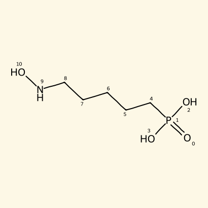 O=P(O)(O)CCCCCNO